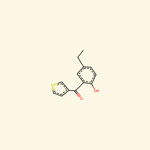 CCc1ccc(O)c(C(=O)c2ccsc2)c1